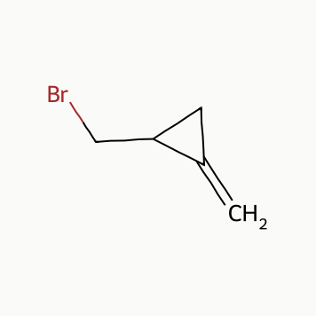 C=C1CC1CBr